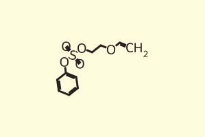 C=COCCOS(=O)(=O)Oc1ccccc1